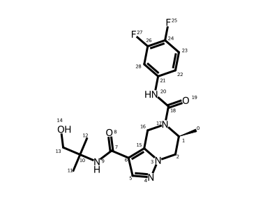 C[C@H]1Cn2ncc(C(=O)NC(C)(C)CO)c2CN1C(=O)Nc1ccc(F)c(F)c1